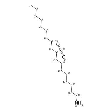 CCCCCCCCCCCCCCCCCCN.O=[Si]=O